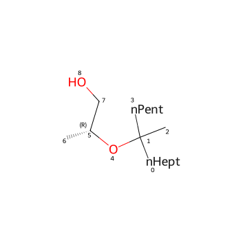 CCCCCCCC(C)(CCCCC)O[C@H](C)CO